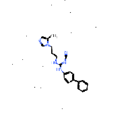 Cc1cncn1CCCNC(=NC#N)Nc1ccc(-c2ccccc2)cc1